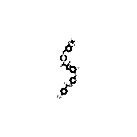 Br.Cn1c(C(=O)N2CCN(Cc3ccc4c(c3)OC(F)(F)O4)CC2)cc2cc(Oc3ccc(NC(=O)c4ccc(C(F)(F)F)cc4)cn3)ccc21